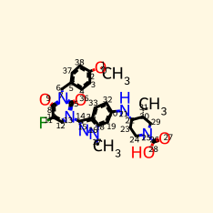 COc1ccc(Cn2c(=O)c(F)cn(-c3nn(C)c4cc(N[C@@H]5CCN(C(=O)O)C[C@H]5C)ccc34)c2=O)cc1